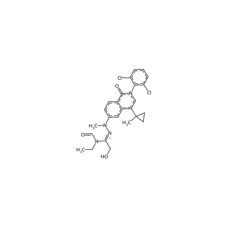 CCN(C=O)/C(CO)=N\N(C)c1ccc2c(=O)n(-c3c(Cl)cccc3Cl)cc(C3(C)CC3)c2c1